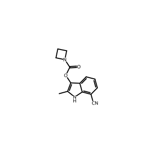 Cc1[nH]c2c(C#N)cccc2c1OC(=O)N1CCC1